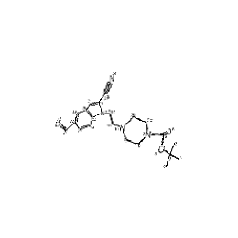 CC(C)(C)OC(=O)N1CCN(CCn2c(C#N)cc3cc(C=O)ccc32)CC1